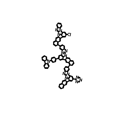 Clc1cc2c3cc4c(-c5ccc6nc7n(c6c5)c5cc(-c6ccc(-n8c9ccccc9c9ccccc98)cc6)cc6c8cc9c(-c%10ccc%11nc%12n(c%11c%10)c%10cc(-c%11ncncn%11)cc%11c%13cc%14ccccc%14cc%13n%12c%11%10)cccc9cc8n7c65)cccc4cc3n3c2c(c1)n1c2ccccc2nc13